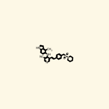 Cc1c(Nc2c(C#N)cncc2C=Cc2ccc(CS(=O)(=O)N3CCCCC3)cc2)ccc2[nH]ccc12